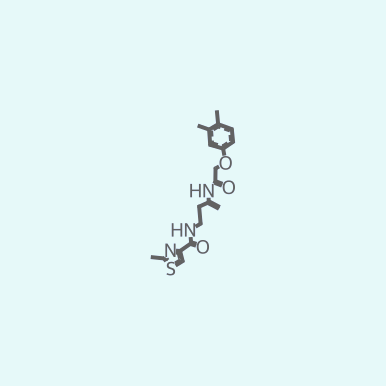 C=C(CCNC(=O)c1csc(C)n1)NC(=O)COc1ccc(C)c(C)c1